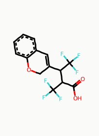 O=C(O)C(C(C1=Cc2ccccc2OC1)C(F)(F)F)C(F)(F)F